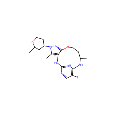 CCc1cnc2nc1NC(C)CCOC(=N)/C(=C(/C)NC1CCOC(C)C1)N2